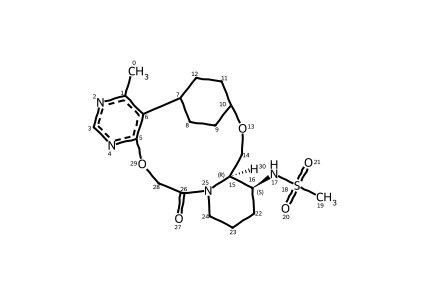 Cc1ncnc2c1C1CCC(CC1)OC[C@H]1[C@@H](NS(C)(=O)=O)CCCN1C(=O)CO2